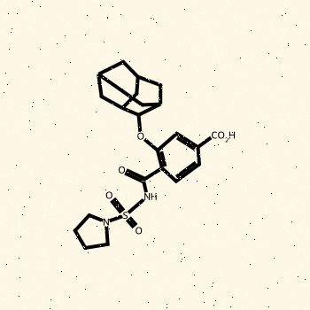 O=C(O)c1ccc(C(=O)NS(=O)(=O)N2CCCC2)c(OC2C3CC4CC(C3)CC2C4)c1